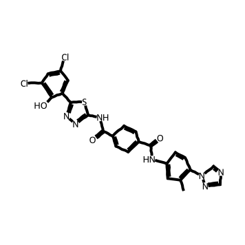 Cc1cc(NC(=O)c2ccc(C(=O)Nc3nnc(-c4cc(Cl)cc(Cl)c4O)s3)cc2)ccc1-n1cncn1